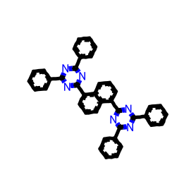 c1ccc(-c2nc(-c3ccccc3)nc(-c3cccc4c(-c5nc(-c6ccccc6)nc(-c6ccccc6)n5)cccc34)n2)cc1